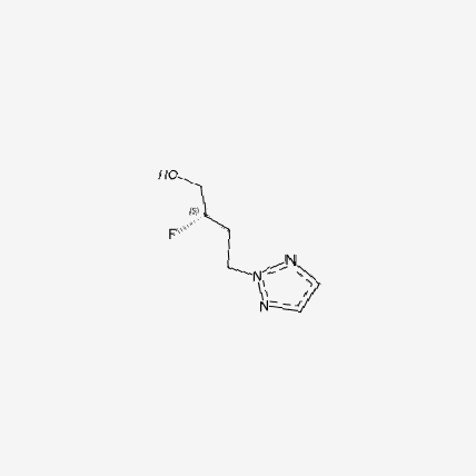 OC[C@@H](F)CCn1nccn1